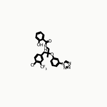 CC(CNC(=O)c1ccccc1O)(Cc1ccc(Cl)c(C(F)(F)F)c1)Oc1cccc(-n2cnnn2)c1